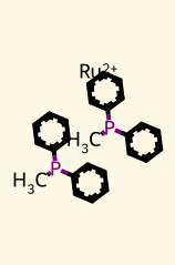 CP(c1ccccc1)c1ccccc1.CP(c1ccccc1)c1ccccc1.[Ru+2]